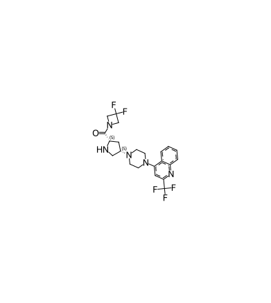 O=C([C@@H]1C[C@H](N2CCN(c3cc(C(F)(F)F)nc4ccccc34)CC2)CN1)N1CC(F)(F)C1